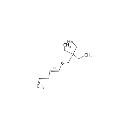 C=CC/C=C/SCC(CC)(CC)CS